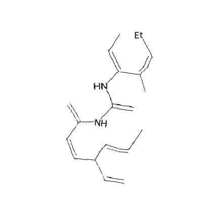 C=CC(C=CC)/C=C\C(=C)NC(=C)NC(=C/C)/C(C)=C\CC